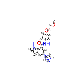 COCCO[C@H]1CC[C@H](NC(=O)c2cc(-n3ccnc3)cc3cc(C)[nH]c23)CC1